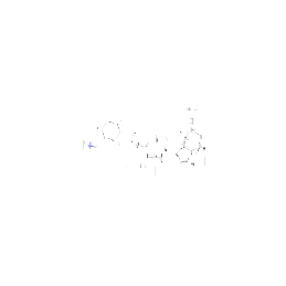 C/N=C/c1cccc(CNC(=O)[C@H](NC(=O)c2c[nH]c3ncc(C4CC4)nc23)C2CC2)c1